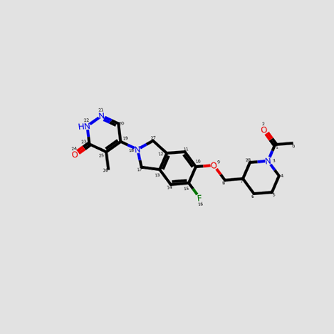 CC(=O)N1CCCC(COc2cc3c(cc2F)CN(c2cn[nH]c(=O)c2C)C3)C1